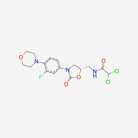 O=C(NC[C@H]1CN(c2ccc(N3CCOCC3)c(F)c2)C(=O)O1)C(Cl)Cl